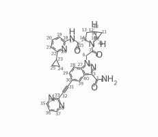 NC(=O)c1nn(CC(=O)N2[C@@H]3C[C@@H]3C[C@H]2C(=O)Nc2cccc(C3CC3)n2)c2ccc(C#Cc3ncccn3)cc12